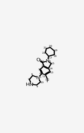 O=C1c2cc(N3CCNCC3)c(F)cc2CN1C1CCCCC1